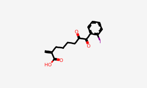 C=C(CCCCC(=O)C(=O)c1ccccc1I)C(=O)O